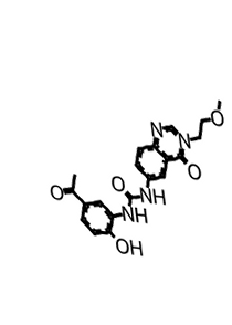 COCCn1cnc2ccc(NC(=O)Nc3cc(C(C)=O)ccc3O)cc2c1=O